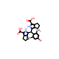 Cc1cc(Br)cc(C)c1C(c1[nH]c(C(=O)O)c2c1CCC2)c1[nH]c(C(=O)O)c2c1CCC2